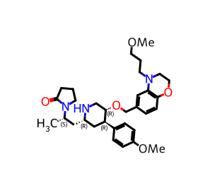 COCCCN1CCOc2ccc(CO[C@H]3CN[C@@H](C[C@H](C)N4CCCC4=O)C[C@@H]3c3ccc(OC)cc3)cc21